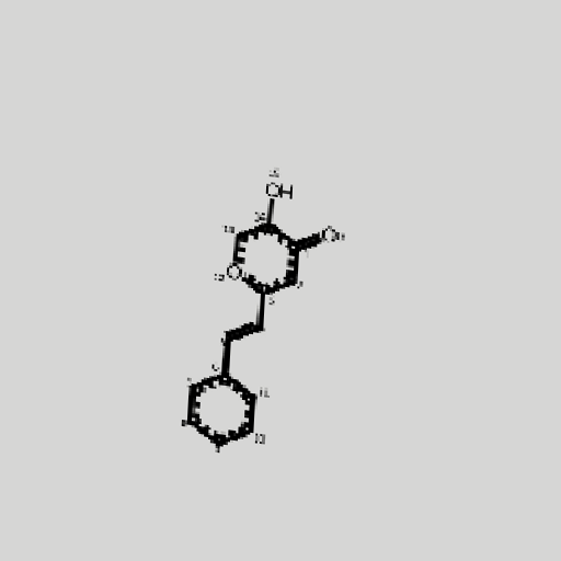 O=c1cc(C=Cc2ccccc2)occ1O